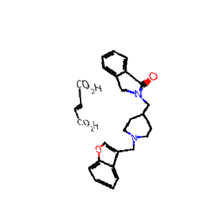 O=C(O)/C=C/C(=O)O.O=C1c2ccccc2CN1CC1CCN(Cc2coc3ccccc23)CC1